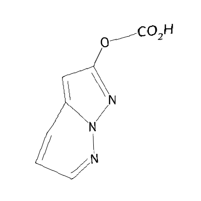 O=C(O)Oc1cc2cccnn2n1